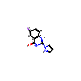 O=c1[nH]c(-n2cccn2)nc2ccc(I)cc12